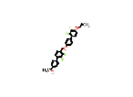 C=CCOc1ccc(-c2ccc(OCc3ccc(-c4ccc(C(C)O)cc4)c(F)c3F)cc2)c(F)c1F